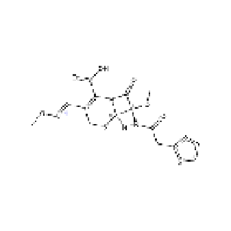 CO/N=C/C1=C(C(=O)O)N2C(=O)[C@](NC(=O)Cc3cccs3)(OC)[C@H]2SC1